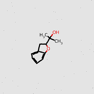 CC(C)(O)C1Cc2ccccc2O1